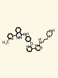 Cc1cccc(-c2nnc(Nc3ccc(Oc4ncccc4-c4ccnc(NCCCN5CCNCC5)n4)cc3)c3ccccc23)n1